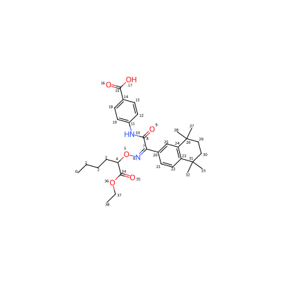 CCCCC(ON=C(C(=O)Nc1ccc(C(=O)O)cc1)c1ccc2c(c1)C(C)(C)CCC2(C)C)C(=O)OCC